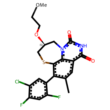 COCCO[C@@H]1CSc2c(-c3cc(Cl)c(F)cc3F)c(C)cc3c(=O)[nH]c(=O)n(c23)C1